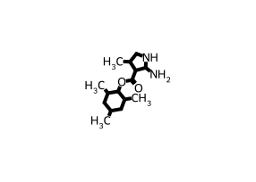 CC1CC(C)C(OC(=O)C2C(C)CNC2N)C(C)C1